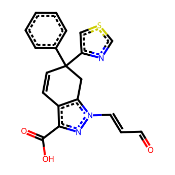 O=CC=Cn1nc(C(=O)O)c2c1CC(c1ccccc1)(c1cscn1)C=C2